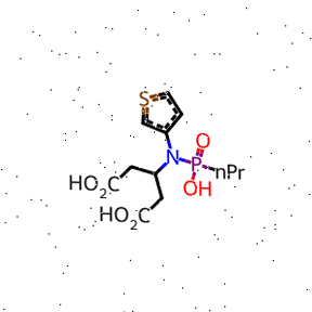 CCCP(=O)(O)N(c1ccsc1)C(CC(=O)O)CC(=O)O